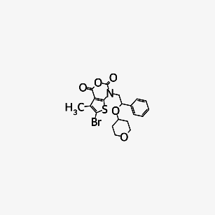 Cc1c(Br)sc2c1c(=O)oc(=O)n2CC(OC1CCOCC1)c1ccccc1